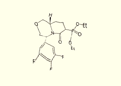 CCOP(=O)(OCC)C1CC[C@H]2COC[C@@H](c3cc(F)c(F)c(F)c3)N2C1=O